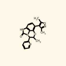 Cc1noc(C)c1-c1ccc2[nH]c(=O)n3c2c1OC(C)C3c1ccccn1